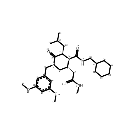 CNC(=O)C[C@@H]1CN(Cc2cc(OC)cc(OC)c2)C(=O)[C@@H](CC(C)C)N1C(=O)NCC1CCCCC1